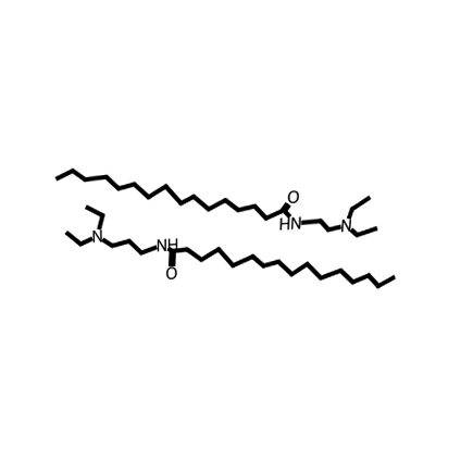 CCCCCCCCCCCCCCCC(=O)NCCCN(CC)CC.CCCCCCCCCCCCCCCC(=O)NCCN(CC)CC